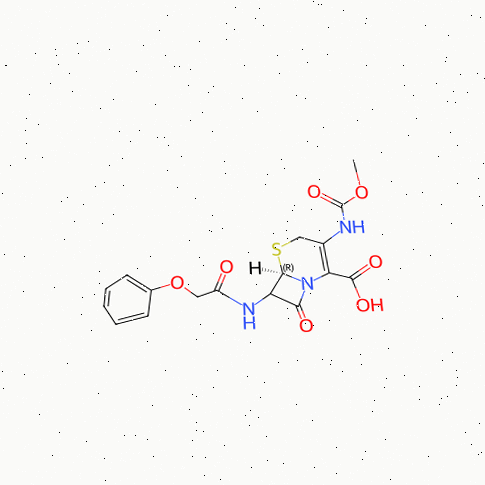 COC(=O)NC1=C(C(=O)O)N2C(=O)C(NC(=O)COc3ccccc3)[C@H]2SC1